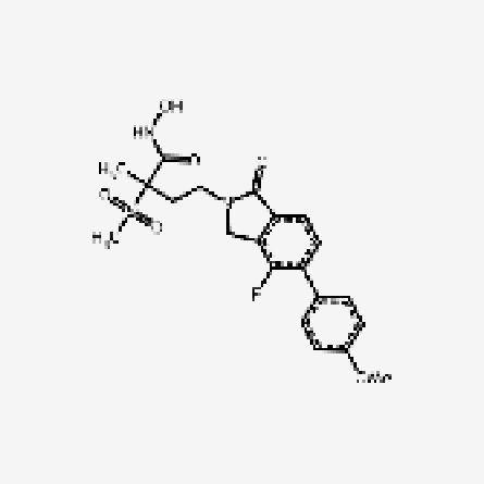 COc1ccc(-c2ccc3c(c2F)CN(CCC(C)(C(=O)NO)S(C)(=O)=O)C3=O)cc1